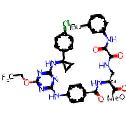 COC(=O)[C@H](CNC(=O)C(=O)Nc1cccc(C(C)(C)C)c1)NC(=O)c1ccc(Nc2nc(NC3(c4ccc(Cl)cc4)CC3)nc(OCC(F)(F)F)n2)cc1